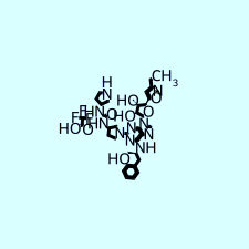 CCc1cc([C@H]2O[C@@H](n3cnc4c(N[C@H](CO)Cc5ccccc5)nc(N5CC[C@@H](NC(=O)N[C@@H]6CCNC6)C5)nc43)[C@H](O)[C@@H]2O)on1.O=C(O)C(F)(F)F